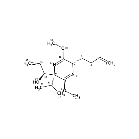 C=CCC[C@@H]1N=C(OC)[C@@](C(C)C)([C@@H](O)C=C)N=C1OC